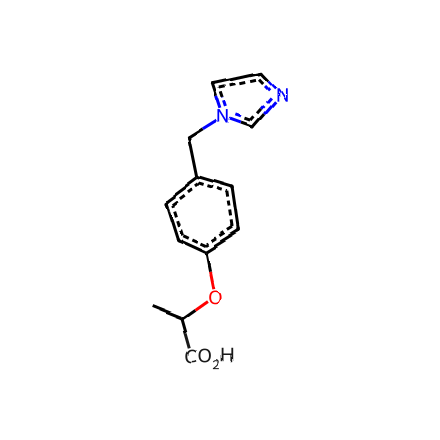 CC(Oc1ccc(Cn2ccnc2)cc1)C(=O)O